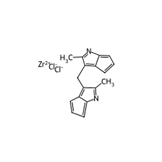 CC1=NC2=CC=CC2=C1CC1=C2C=CC=C2N=C1C.[Cl-].[Cl-].[Zr+2]